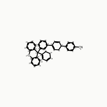 N#Cc1ccc(C2C=CC(c3cccc(C4(C5=CC=CCC5)c5ccccc5Oc5ccccc54)c3)=CC2)cc1